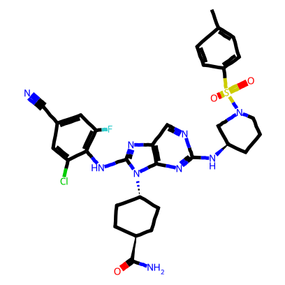 Cc1ccc(S(=O)(=O)N2CCC[C@@H](Nc3ncc4nc(Nc5c(F)cc(C#N)cc5Cl)n([C@H]5CC[C@H](C(N)=O)CC5)c4n3)C2)cc1